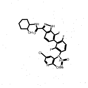 COc1ncc(Cl)cc1N(c1ccc(F)c(-c2ccc3c(C(=O)NC4CCCCC4O)n[nH]c3c2F)c1F)[SH](=O)=O